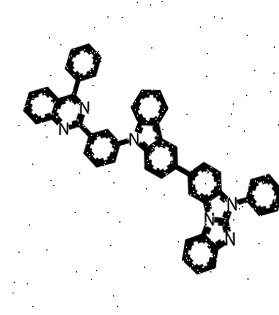 c1ccc(-c2nc(-c3cccc(-n4c5ccccc5c5cc(-c6ccc7c(c6)n6c8ccccc8nc6n7-c6ccccc6)ccc54)c3)nc3ccccc23)cc1